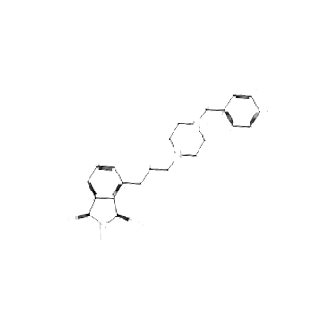 O=C1NC(=O)c2c(CCCN3CCN(Cc4ccccc4)CC3)cccc21